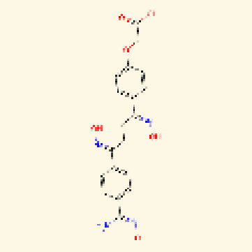 NC(=NO)c1ccc(C(CCC(=NO)c2ccc(OCC(=O)O)cc2)=NO)cc1